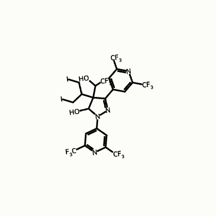 OC1N(c2cc(C(F)(F)F)nc(C(F)(F)F)c2)N=C(c2cc(C(F)(F)F)nc(C(F)(F)F)c2)C1(C(CI)CI)C(O)C(F)(F)F